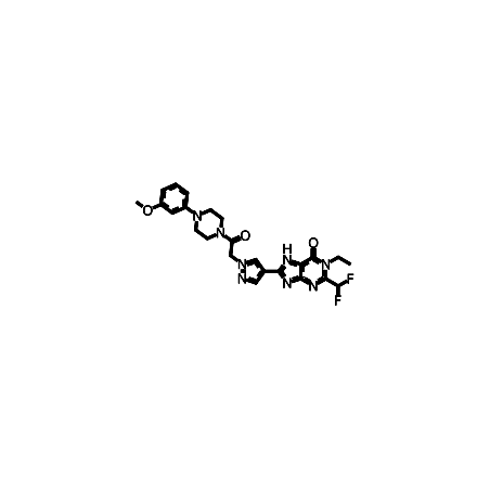 CCn1c(C(F)F)nc2nc(-c3cnn(CC(=O)N4CCN(c5cccc(OC)c5)CC4)c3)[nH]c2c1=O